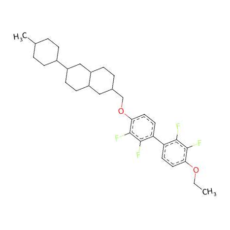 CCOc1ccc(-c2ccc(OCC3CCC4CC(C5CCC(C)CC5)CCC4C3)c(F)c2F)c(F)c1F